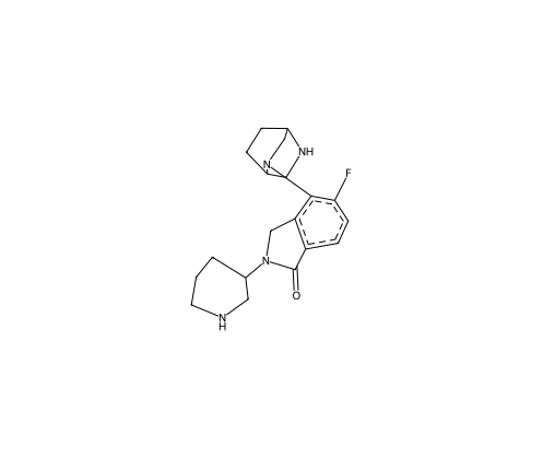 O=C1c2ccc(F)c(N3CC4CCC3CN4)c2CN1C1CCCNC1